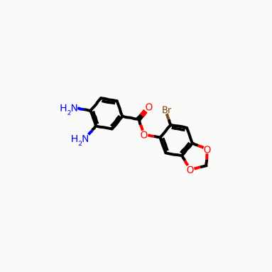 Nc1ccc(C(=O)Oc2cc3c(cc2Br)OCO3)cc1N